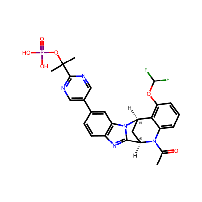 CC(=O)N1c2cccc(OC(F)F)c2[C@H]2C[C@@H]1c1nc3ccc(-c4cnc(C(C)(C)OP(=O)(O)O)nc4)cc3n12